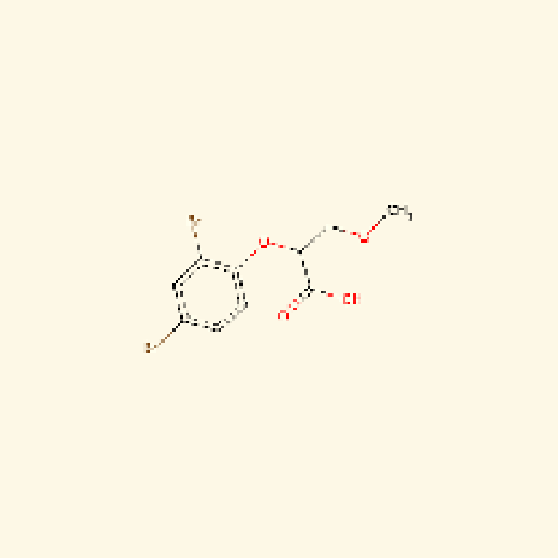 COCC(Oc1ccc(Br)cc1Br)C(=O)O